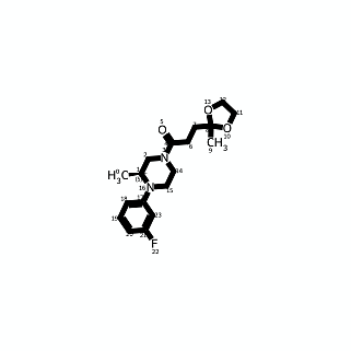 C[C@H]1CN(C(=O)CCC2(C)OCCO2)CCN1c1cccc(F)c1